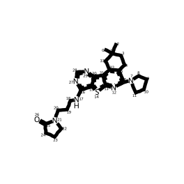 CC1(C)CCc2c(N3CCCC3)nc3sc4c(NCCCN5CCCC5=O)ncnc4c3c2C1